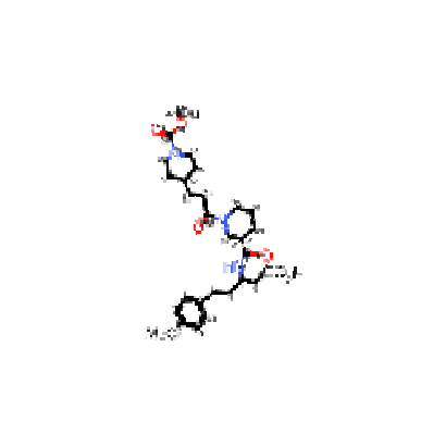 COc1ccc(CCC(CC(=O)O)NC(=O)[C@@H]2CCCN(C(=O)CCC3CCN(C(=O)OC(C)(C)C)CC3)C2)cc1